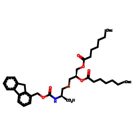 CCCCCCCCCCCCCCCC(=O)OC[C@H](CSC[C@H](NC(=O)OCc1cccc2c1Cc1ccccc1-2)C(=O)O)OC(=O)CCCCCCCCCCCCCCC